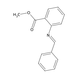 COC(=O)c1ccccc1/N=C/c1ccccc1